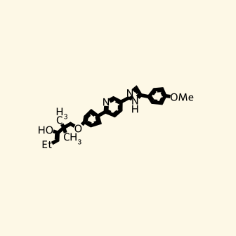 CC/C=C(\O)C(C)(C)COc1ccc(-c2ccc(-c3ncc(-c4ccc(OC)cc4)[nH]3)cn2)cc1